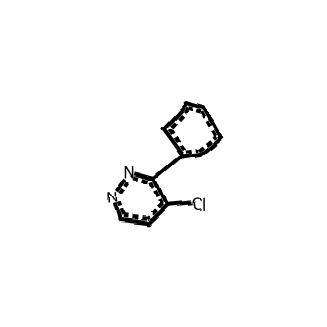 Clc1ccnnc1-c1ccccc1